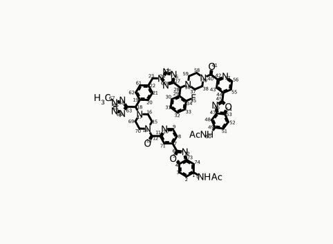 CC(=O)Nc1ccc2oc(-c3ccnc(C(=O)N4CCN(C(c5ccc(Cn6nnc(C(c7ccccc7F)N7CCN(C(=O)c8cc(-c9nc%10cc(NC(C)=O)ccc%10o9)ccn8)CC7)n6)cc5)c5nnn(C)n5)CC4)c3)nc2c1